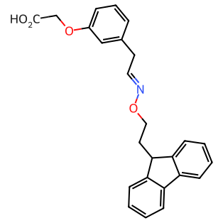 O=C(O)COc1cccc(CC=NOCCC2c3ccccc3-c3ccccc32)c1